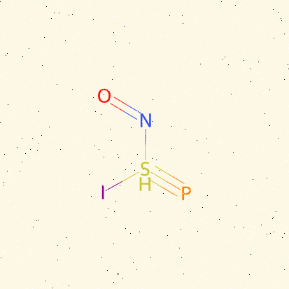 O=N[SH](#P)I